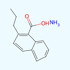 CCCc1ccc2ccccc2c1C(=O)O.N